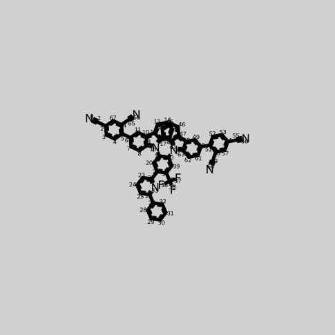 N#Cc1ccc(-c2ccc3c(c2)c2ccccc2n3-c2cc(-c3cccc(-c4ccccc4)n3)c(C(F)(F)F)cc2-n2c3ccccc3c3cc(-c4ccc(C#N)cc4C#N)ccc32)c(C#N)c1